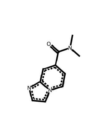 CN(C)C(=O)c1ccn2ccnc2c1